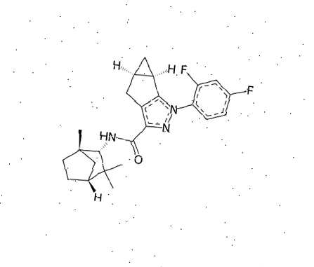 CC1(C)[C@@H]2CC[C@@](C)(C2)[C@@H]1NC(=O)c1nn(-c2ccc(F)cc2F)c2c1C[C@H]1C[C@@H]21